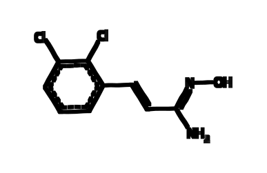 NC(C=Cc1cccc(Cl)c1Cl)=NO